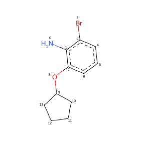 Nc1c(Br)cccc1OC1CCCC1